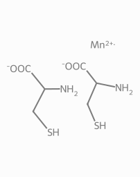 NC(CS)C(=O)[O-].NC(CS)C(=O)[O-].[Mn+2]